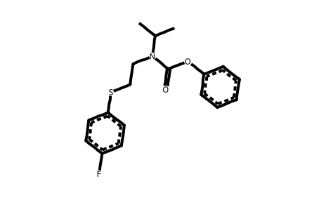 CC(C)N(CCSc1ccc(F)cc1)C(=O)Oc1ccccc1